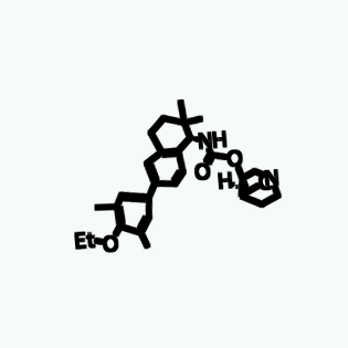 CCOc1c(C)cc(-c2ccc3c(c2)CCC(C)(C)[C@H]3NC(=O)O[C@H]2CN3CCC2CC3)cc1C